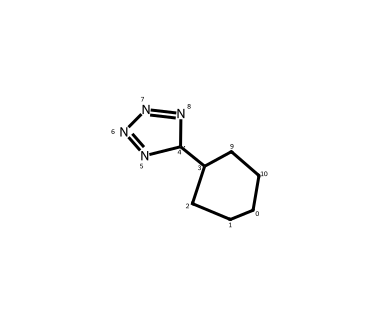 C1CCC([C]2N=NN=N2)CC1